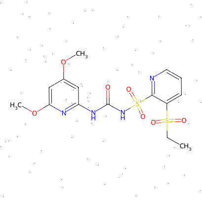 CCS(=O)(=O)c1cccnc1S(=O)(=O)NC(=O)Nc1cc(OC)cc(OC)n1